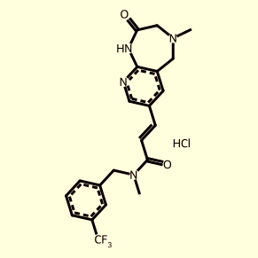 CN1CC(=O)Nc2ncc(/C=C/C(=O)N(C)Cc3cccc(C(F)(F)F)c3)cc2C1.Cl